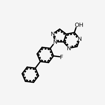 Oc1ncnc2c1cnn2-c1ccc(-c2ccccc2)cc1F